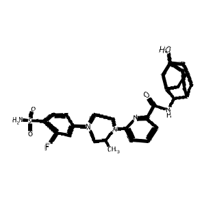 CC1CN(c2ccc(S(N)(=O)=O)c(F)c2)CCN1c1cccc(C(=O)NC2C3CC4CC2CC(O)(C4)C3)n1